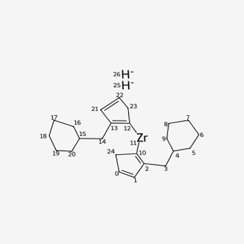 C1=CC(CC2CCCCC2)=[C]([Zr][C]2=C(CC3CCCCC3)C=CC2)C1.[H-].[H-]